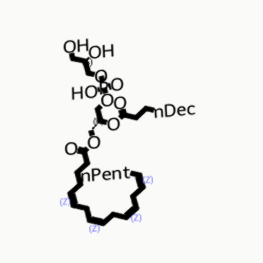 CCCCC/C=C\C/C=C\C/C=C\C/C=C\CCCC(=O)OC[C@H](COP(=O)(O)OC[C@@H](O)CO)OC(=O)CCCCCCCCCCCC